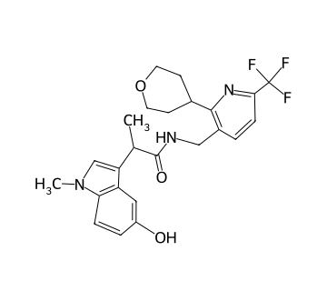 CC(C(=O)NCc1ccc(C(F)(F)F)nc1C1CCOCC1)c1cn(C)c2ccc(O)cc12